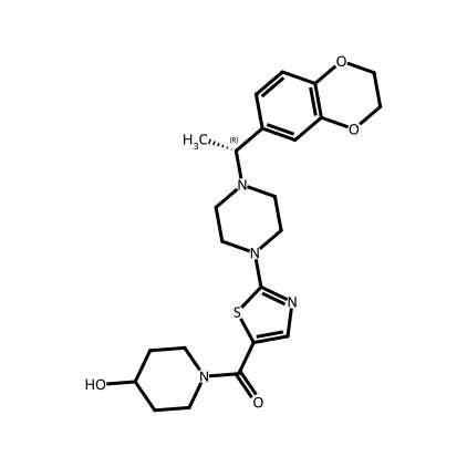 C[C@H](c1ccc2c(c1)OCCO2)N1CCN(c2ncc(C(=O)N3CCC(O)CC3)s2)CC1